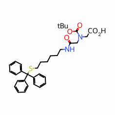 CC(C)(C)OC(=O)N(CC(=O)O)CC(=O)NCCCCCCSC(c1ccccc1)(c1ccccc1)c1ccccc1